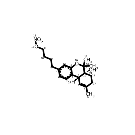 CC1=C[C@@H]2c3ccc(CCCCO[N+](=O)[O-])cc3OC(C)(C)[C@@]2(O)CC1